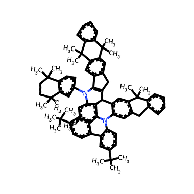 Cc1cc2c3c(c1)N(c1ccc(C(C)(C)C)cc1-c1ccc(C(C)(C)C)cc1)c1cc4c(cc1C3C1=C(c3cc5c(cc3C1)C(C)(C)c1ccccc1C5(C)C)N2c1ccc2c(c1)C(C)(C)CCC2(C)C)C(C)(C)c1ccccc1C4